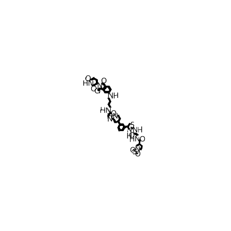 CN(CC(=O)NCCCCNc1ccc2c(c1)C(=O)N(C1CCC(=O)NC1=O)C2=O)C1CC(c2cccc(C3CSC(NC(=O)CNC(=O)C4CCN(S(C)(=O)=O)C4)N3)c2)CCN1